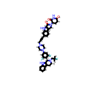 C[C@@H]1Cc2c([nH]c3ccccc23)[C@@H](c2c(F)cc(N3CCN(CC#Cc4ccc5c6c([nH]c5c4)C(=O)N(C4CCC(=O)NC4=O)C6)CC3)cc2F)N1CC(C)(C)F